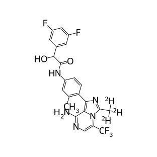 [2H]C([2H])([2H])c1nc(-c2ccc(NC(=O)C(O)c3cc(F)cc(F)c3)cc2C)c2c(N)ncc(C(F)(F)F)n12